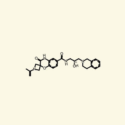 C=C(C)N1CC2(C1)Oc1ccc(C(=O)NC[C@H](O)CN3CCc4ccccc4C3)cc1NC2=O